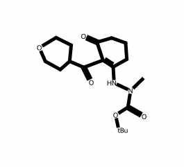 CN(NC1=C(C(=O)C2CCOCC2)C(=O)CCC1)C(=O)OC(C)(C)C